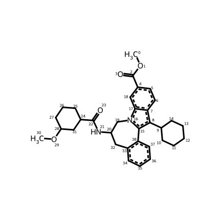 COC(=O)c1ccc2c(C3CCCCC3)c3n(c2c1)CC(NC(=O)C1CCCC(OC)C1)Cc1ccccc1-3